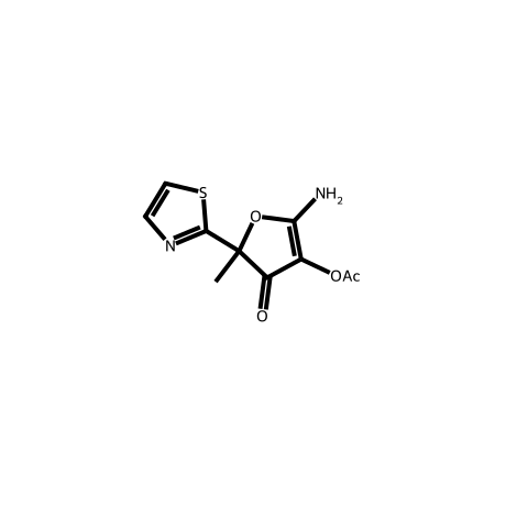 CC(=O)OC1=C(N)OC(C)(c2nccs2)C1=O